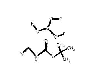 CC(C)(C)OC(=O)N[CH2][K].FOB(OF)OF